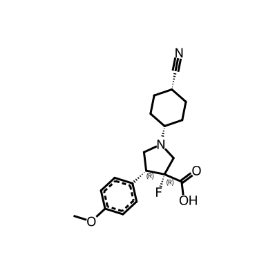 COc1ccc([C@@H]2CN([C@H]3CC[C@@H](C#N)CC3)C[C@@]2(F)C(=O)O)cc1